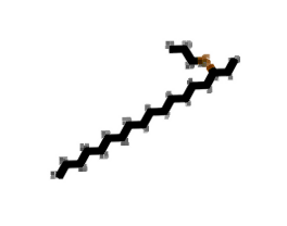 [CH2]CC(CCCCCCCCCCCCCCC)SCCC